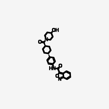 O=C(Nc1ccc([C@H]2CC[C@H](C(=O)N3CCC(O)CC3)CC2)cc1)c1onc2ccccc12